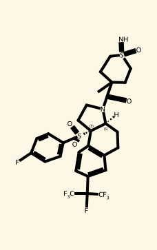 CC1(C(=O)N2CC[C@]3(S(=O)(=O)c4ccc(F)cc4)c4ccc(C(F)(C(F)(F)F)C(F)(F)F)cc4CC[C@H]23)CCS(=N)(=O)CC1